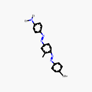 CCCCc1ccc(N=Nc2ccc(N=Nc3ccc(N(CC)CC)cc3)cc2C)cc1